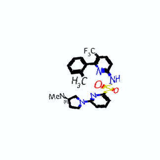 CN[C@@H]1CCN(c2cccc(S(=O)(=O)Nc3ccc(C(F)(F)F)c(-c4ccccc4C)n3)n2)C1